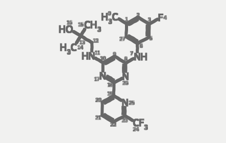 Cc1cc(F)cc(Nc2cc(NCC(C)(C)O)nc(-c3cccc(C(F)(F)F)n3)n2)c1